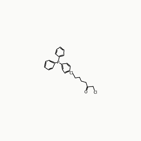 O=C(CCl)CCCCCl.c1ccc(P(c2ccccc2)c2ccccc2)cc1